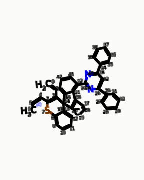 C=CC1=C(/C=C\C)Sc2ccccc2C12C1=C(C=CCC1)c1c(-c3nc(-c4ccccc4)cc(-c4ccccc4)n3)cccc12